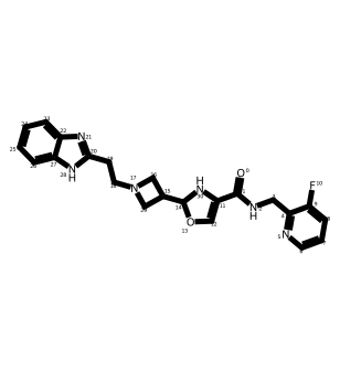 O=C(NCc1ncccc1F)C1=COC(C2CN(CCc3nc4ccccc4[nH]3)C2)N1